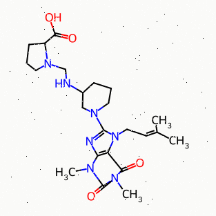 CC(C)=CCn1c(N2CCCC(NCN3CCCC3C(=O)O)C2)nc2c1c(=O)n(C)c(=O)n2C